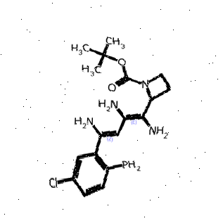 CC(C)(C)OC(=O)N1CCC1/C(N)=C(N)/C=C(\N)c1cc(Cl)ccc1P